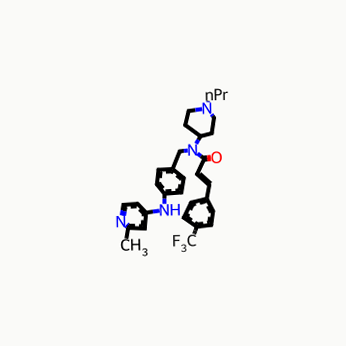 CCCN1CCC(N(Cc2ccc(Nc3ccnc(C)c3)cc2)C(=O)/C=C/c2ccc(C(F)(F)F)cc2)CC1